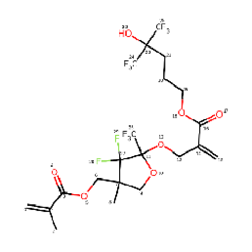 C=C(C)C(=O)OCC1(C)COC(OCC(=C)C(=O)OCCCC(O)(C(F)(F)F)C(F)(F)F)(C(F)(F)F)C1(F)F